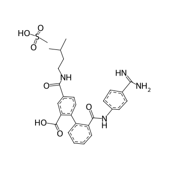 CC(C)CCNC(=O)c1ccc(-c2ccccc2C(=O)Nc2ccc(C(=N)N)cc2)c(C(=O)O)c1.CS(=O)(=O)O